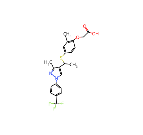 Cc1cc(SC(C)c2cn(-c3ccc(C(F)(F)F)cc3)nc2C)ccc1OCC(=O)O